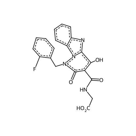 O=C(O)CNC(=O)c1c(O)c2nc3ccccc3n2n(Cc2ccccc2F)c1=O